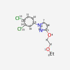 [CH2]COCCOc1ccn(-c2ccc(Cl)c(Cl)c2)n1